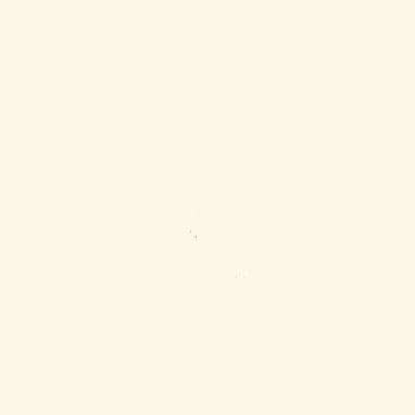 O=C(NCc1ccccc1OCCO)OCC1c2ccccc2-c2ccccc21